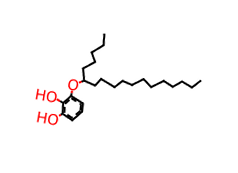 CCCCCCCCCCCCC(CCCCC)Oc1cccc(O)c1O